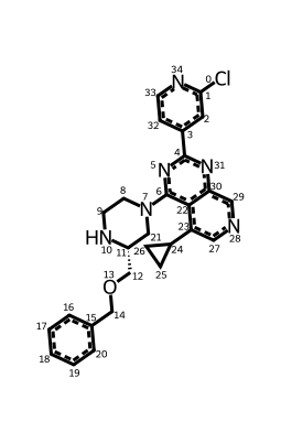 Clc1cc(-c2nc(N3CCN[C@@H](COCc4ccccc4)C3)c3c(C4CC4)cncc3n2)ccn1